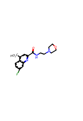 O=C(NCCN1CCOCC1)c1cc(C(=O)O)c2ccc(F)cc2n1